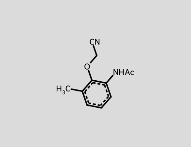 CC(=O)Nc1cccc(C)c1OCC#N